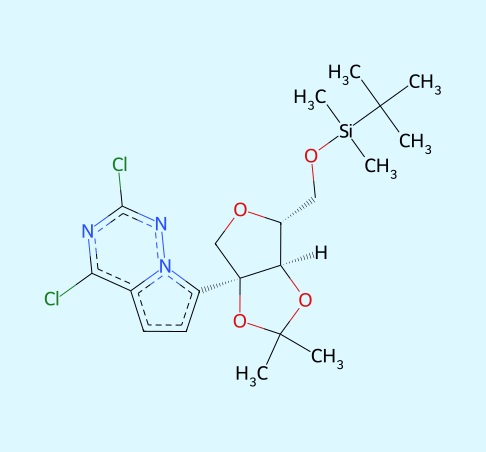 CC1(C)O[C@@H]2[C@@H](CO[Si](C)(C)C(C)(C)C)OC[C@]2(c2ccc3c(Cl)nc(Cl)nn23)O1